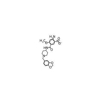 COc1cc(N)c([N+](=O)[O-])cc1C(=O)NC1CCN(Cc2ccc3c(c2)OCO3)CC1